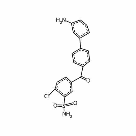 Nc1cccc(-c2ccc(C(=O)c3ccc(Cl)c(S(N)(=O)=O)c3)cc2)c1